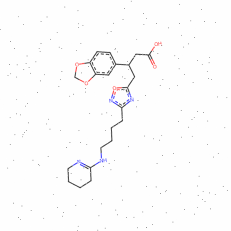 O=C(O)CC(Cc1nc(CCCCNC2=NCCCC2)no1)c1ccc2c(c1)OCO2